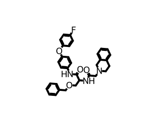 O=C(CN1CCc2ccccc2C1)NC(COCc1ccccc1)C(=O)Nc1ccc(Oc2ccc(F)cc2)cc1